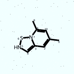 CC1=[C]C2=CNSN2C(C)=C1